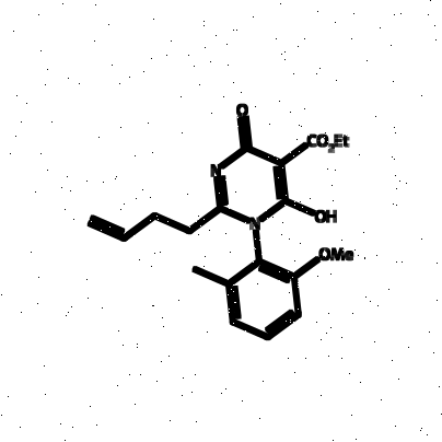 C=CCCc1nc(=O)c(C(=O)OCC)c(O)n1-c1c(C)cccc1OC